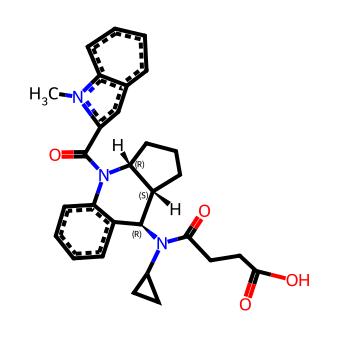 Cn1c(C(=O)N2c3ccccc3[C@H](N(C(=O)CCC(=O)O)C3CC3)[C@H]3CCC[C@H]32)cc2ccccc21